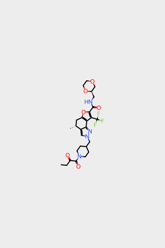 CCC(=O)C(=O)N1CCC(Cn2cc3c(n2)-c2c(oc(C(=O)NC[C@@H]4COCCO4)c2C(F)(F)F)C[C@H]3C)CC1